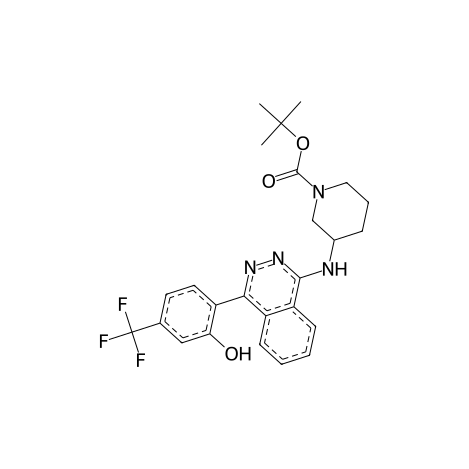 CC(C)(C)OC(=O)N1CCCC(Nc2nnc(-c3ccc(C(F)(F)F)cc3O)c3ccccc23)C1